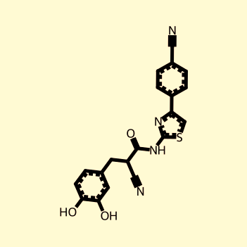 N#Cc1ccc(-c2csc(NC(=O)C(C#N)Cc3ccc(O)c(O)c3)n2)cc1